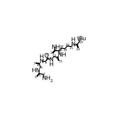 C=C(CN)NCC(=C)NCC(=O)NCC(=C)NC(CCCCNC(=C)CC(C)(C)C)C(=C)N